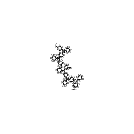 CCc1ccc2c(c1)c1cc(N(c3ccccc3)c3ccc(-c4c5ccccc5c(-c5ccc(N(c6ccccc6)c6ccc7c(c6)c6cc(CC)ccc6n7-c6ccccc6)cc5)c5cc(C)ccc45)cc3)ccc1n2-c1ccccc1